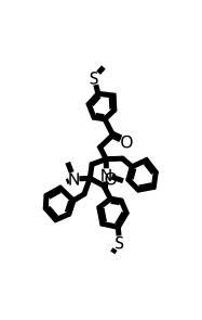 CSc1ccc(C(=O)CC(Cc2ccccc2)(CC(Cc2ccccc2)(C(=O)c2ccc(SC)cc2)N(C)C)N(C)C)cc1